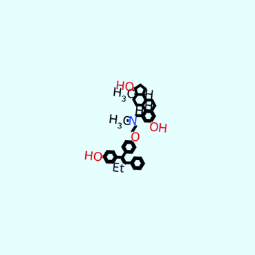 CC/C(=C(\c1ccc(O)cc1)c1ccc(OCCN(C)Cc2cc(O)cc3c2[C@H]2CC[C@]4(C)[C@H](O)CC[C@H]4[C@@H]2CC3)cc1)c1ccccc1